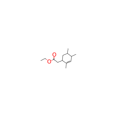 CCOC(=O)CC1CC(C)C(C)C=C1C